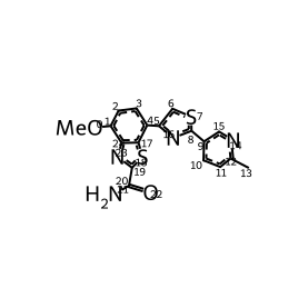 COc1ccc(-c2csc(-c3ccc(C)nc3)n2)c2sc(C(N)=O)nc12